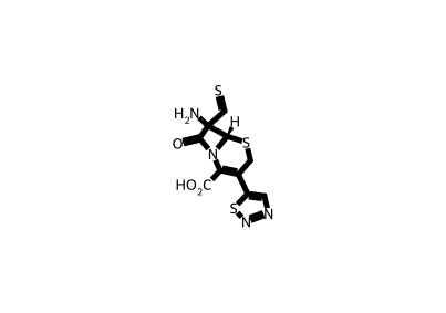 NC1(C=S)C(=O)N2C(C(=O)O)=C(c3cnns3)CS[C@H]21